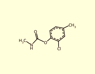 CNC(=O)Oc1ccc(C)cc1Cl